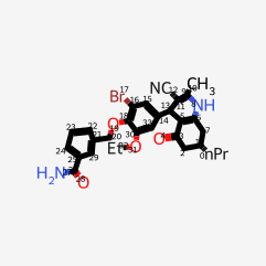 CCCC1CC(=O)C2=C(C1)NC(C)=C(C#N)C2c1cc(Br)c(OCc2cccc(C(N)=O)c2)c(OCC)c1